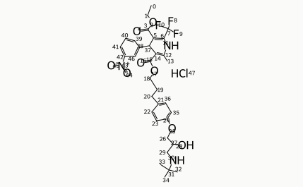 CCOC(=O)C1=C(C(F)(F)F)NC(C)=C(C(=O)OCCCc2ccc(OCC(O)CNC(C)(C)C)cc2)C1c1cccc([N+](=O)[O-])c1.Cl